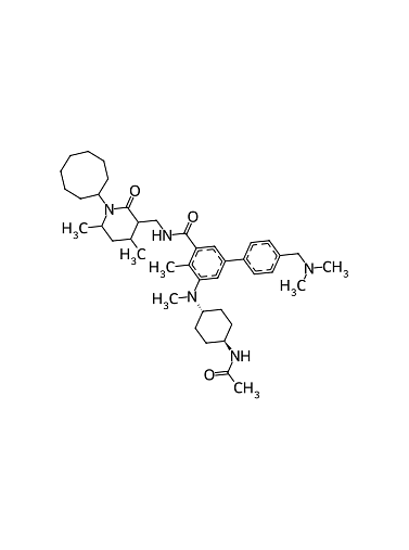 CC(=O)N[C@H]1CC[C@H](N(C)c2cc(-c3ccc(CN(C)C)cc3)cc(C(=O)NCC3C(=O)N(C4CCCCCCC4)C(C)CC3C)c2C)CC1